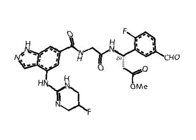 COC(=O)C[C@H](NC(=O)CNC(=O)c1cc(NC2=NCC(F)CN2)c2cn[nH]c2c1)c1cc(C=O)ccc1F